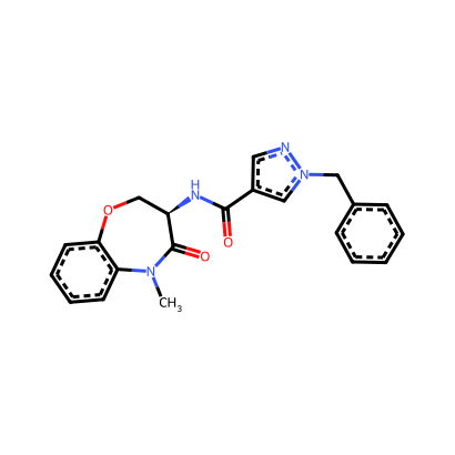 CN1C(=O)[C@H](NC(=O)c2cnn(Cc3ccccc3)c2)COc2ccccc21